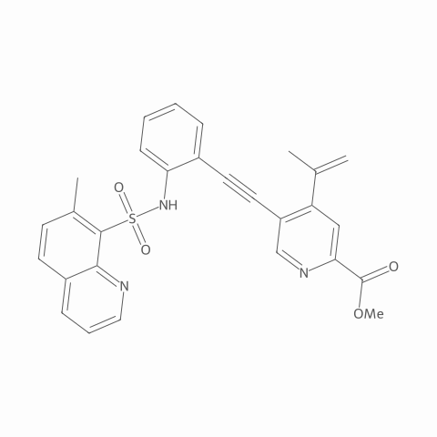 C=C(C)c1cc(C(=O)OC)ncc1C#Cc1ccccc1NS(=O)(=O)c1c(C)ccc2cccnc12